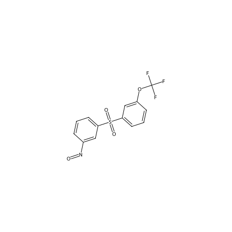 O=Nc1cccc(S(=O)(=O)c2cccc(OC(F)(F)F)c2)c1